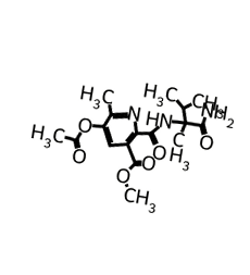 COC(=O)c1cc(OC(C)=O)c(C)nc1C(=O)NC(C)(C(N)=O)C(C)C